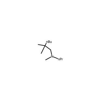 CCCCC(C)(C)CN(C)CCC